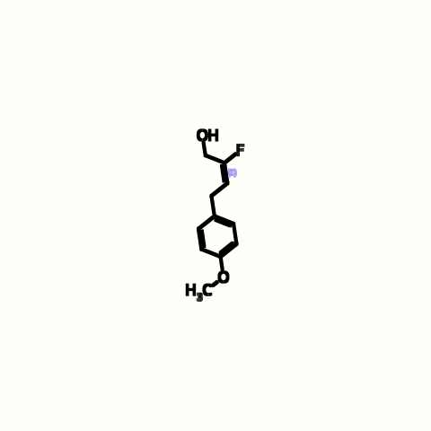 COc1ccc(C/C=C(/F)CO)cc1